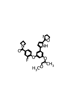 COC[C@H](C)Oc1cc(Oc2ccc(C(=O)N3CCC3)cc2F)cc(-c2ccc(C3=NCCO3)[nH]2)c1